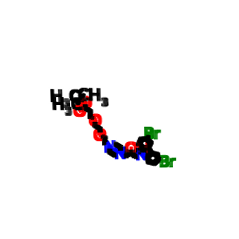 CC(C)(C)OC(=O)CCOCCOCCN1CCN(C[C@@H](O)Cn2c3ccc(Br)cc3c3cc(Br)ccc32)CC1